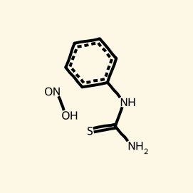 NC(=S)Nc1ccccc1.O=NO